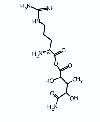 CC(C(O)C(N)=O)C(O)C(=O)OC(=O)[C@@H](N)CCCNC(=N)N